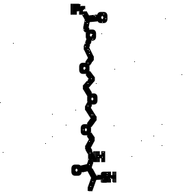 CC(C)C(=O)COCCOCCOCCOCCNC(=O)C(C)S